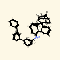 c1ccc(-c2cccc(-c3cccc(Nc4cccc5c4-c4ccccc4C54C5CC6CC(C5)CC4C6)c3)c2)cc1